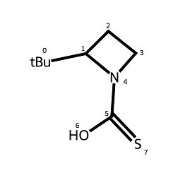 CC(C)(C)C1CCN1C(O)=S